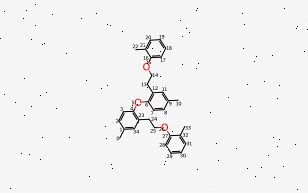 Cc1ccc(Oc2ccc(C)cc2CCOc2ccccc2C)c(CCOc2ccccc2C)c1